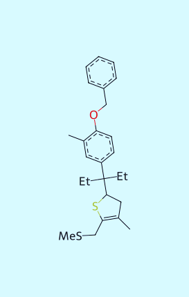 CCC(CC)(c1ccc(OCc2ccccc2)c(C)c1)C1CC(C)=C(CSC)S1